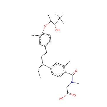 CCC(CCc1ccc(OC(C)C(O)C(C)(C)C)c(C)c1)c1ccc(C(=O)N(C)CC(=O)O)c(C)c1